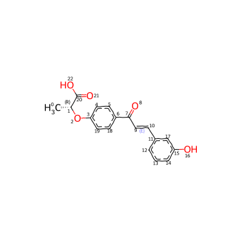 C[C@@H](Oc1ccc(C(=O)/C=C/c2cccc(O)c2)cc1)C(=O)O